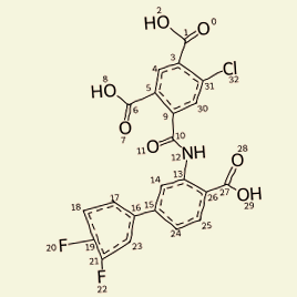 O=C(O)c1cc(C(=O)O)c(C(=O)Nc2cc(-c3ccc(F)c(F)c3)ccc2C(=O)O)cc1Cl